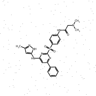 Cc1cc(Nc2cc(-c3ccccc3)nc(S(=O)(=O)c3ccc(NC(=O)CN(C)C)cc3)n2)[nH]n1